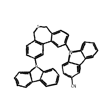 N#Cc1ccc2c(c1)c1ccccc1n2-c1ccc2c(c1)-c1cc(-n3c4ccccc4c4ccccc43)ccc1CSC2